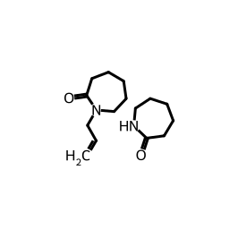 C=CCN1CCCCCC1=O.O=C1CCCCCN1